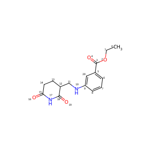 CCOC(=O)c1cccc(NCC2CCC(=O)NC2=O)c1